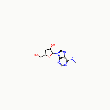 CNc1ncnc2c1ncn2C1OC(CO)CC1O